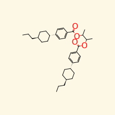 CCC[C@H]1CC[C@H](c2ccc(C(=O)OC(C)C(C)OC(=O)c3ccc([C@H]4CC[C@H](CCC)CC4)cc3)cc2)CC1